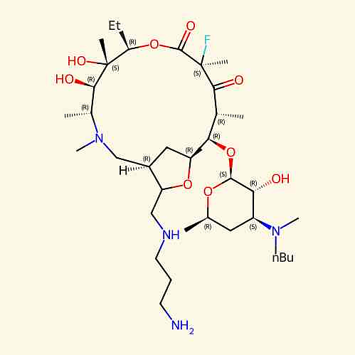 CCCCN(C)[C@H]1C[C@@H](C)O[C@@H](O[C@@H]2[C@@H](C)C(=O)[C@](C)(F)C(=O)O[C@H](CC)[C@@](C)(O)[C@H](O)[C@@H](C)N(C)C[C@H]3C[C@@]2(C)OC3CNCCCN)[C@@H]1O